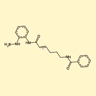 BNc1ccccc1NC(=O)/C=C/CCCNC(=O)c1ccccc1